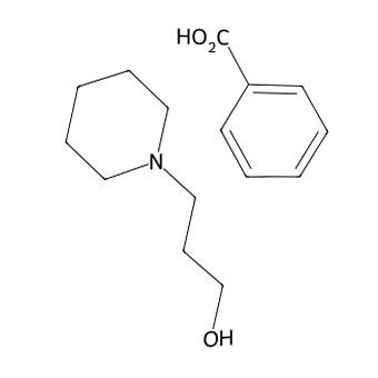 O=C(O)c1ccccc1.OCCCN1CCCCC1